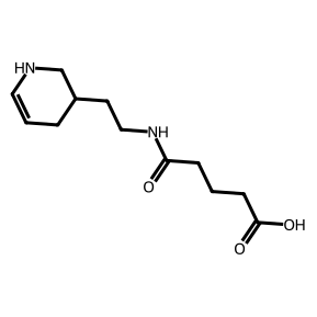 O=C(O)CCCC(=O)NCCC1CC=CNC1